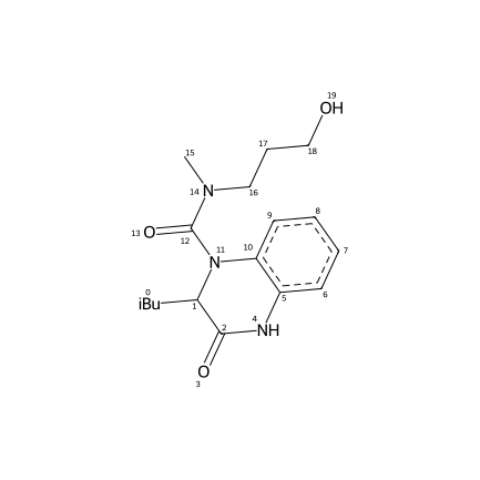 CCC(C)C1C(=O)Nc2ccccc2N1C(=O)N(C)CCCO